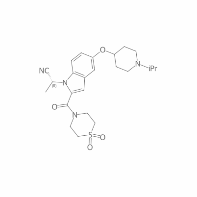 CC(C)N1CCC(Oc2ccc3c(c2)cc(C(=O)N2CCS(=O)(=O)CC2)n3[C@H](C)C#N)CC1